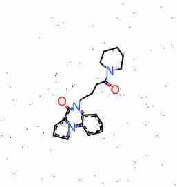 O=C(CCCn1c(=O)c2cccn2c2ccccc21)N1CCCCC1